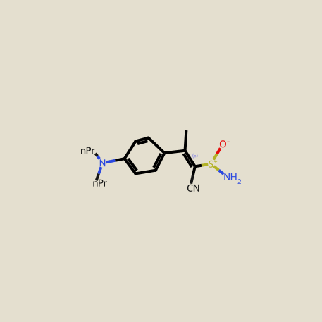 CCCN(CCC)c1ccc(/C(C)=C(\C#N)[S+](N)[O-])cc1